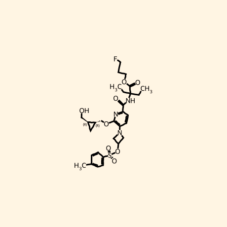 CCC(CC)(NC(=O)c1ccc(N2CC(OS(=O)(=O)c3ccc(C)cc3)C2)c(OC[C@@H]2C[C@H]2CO)n1)C(=O)OCCCF